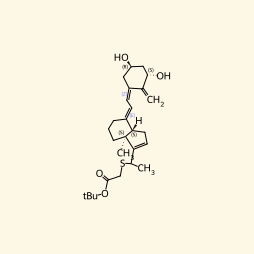 C=C1/C(=C\C=C2/CCC[C@]3(C)C(C(C)SCC(=O)OC(C)(C)C)=CC[C@@H]23)C[C@@H](O)C[C@@H]1O